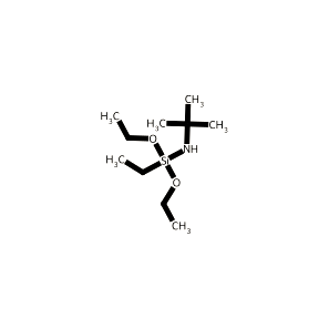 CCO[Si](CC)(NC(C)(C)C)OCC